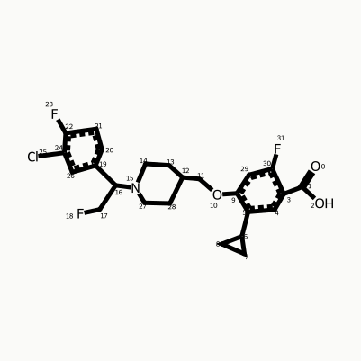 O=C(O)c1cc(C2CC2)c(OCC2CCN(C(CF)c3ccc(F)c(Cl)c3)CC2)cc1F